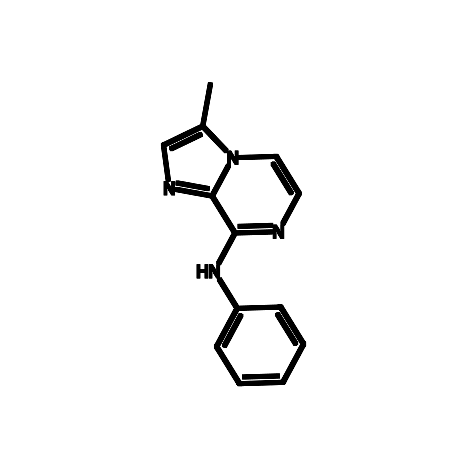 Cc1cnc2c(Nc3ccccc3)nccn12